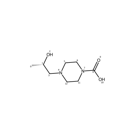 C[C@H](O)CN1CCN(C(=O)O)CC1